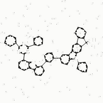 CC1(C)c2ccccc2-c2cc3c4cc(-c5cccc(-c6cccc7c6oc6c(-c8nc(-c9ccccc9)nc(-c9ccccc9)n8)cccc67)c5)ccc4n(-c4ccccc4)c3cc21